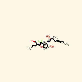 CCC#CC[C@H](C)[C@H](O)/C=C/[C@@H]1[C@@H]2[C@H](C[C@H]1O)O/C(=C(/[C]=O)CCC)C2(F)F